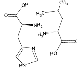 CC(C)C[C@@H](N)C(=O)O.N[C@@H](Cc1c[nH]cn1)C(=O)O